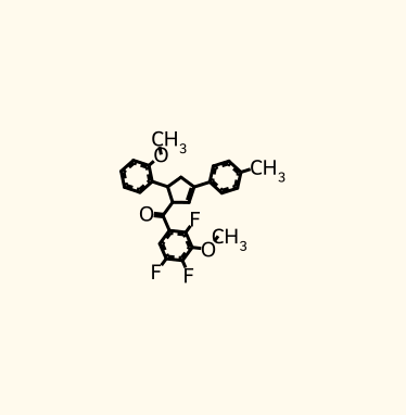 COc1ccccc1C1CC(c2ccc(C)cc2)=CC1C(=O)c1cc(F)c(F)c(OC)c1F